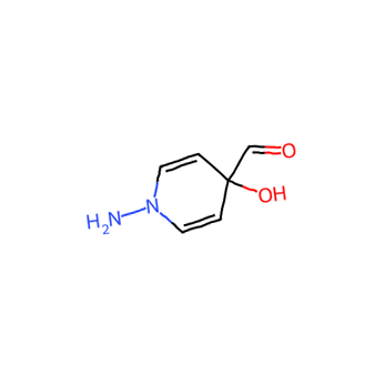 NN1C=CC(O)(C=O)C=C1